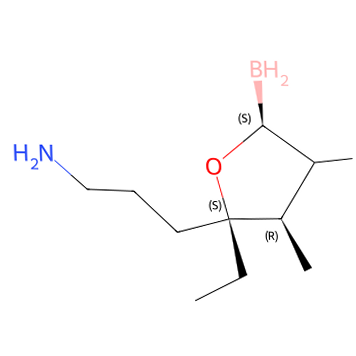 B[C@@H]1O[C@@](CC)(CCCN)[C@H](C)C1C